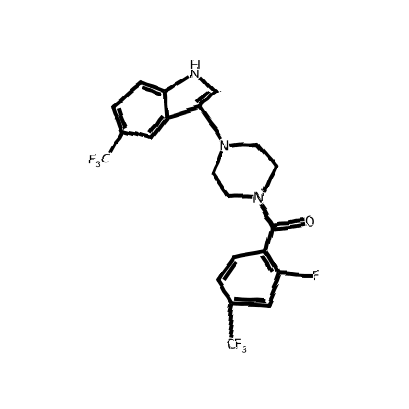 O=C(c1ccc(C(F)(F)F)cc1F)N1CCN(c2[c][nH]c3ccc(C(F)(F)F)cc23)CC1